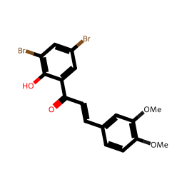 COc1ccc(C=CC(=O)c2cc(Br)cc(Br)c2O)cc1OC